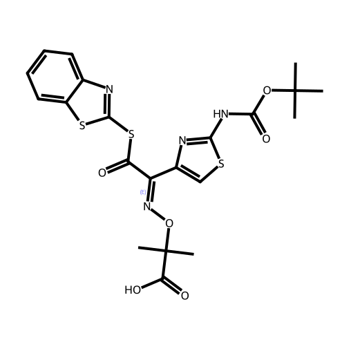 CC(C)(C)OC(=O)Nc1nc(/C(=N\OC(C)(C)C(=O)O)C(=O)Sc2nc3ccccc3s2)cs1